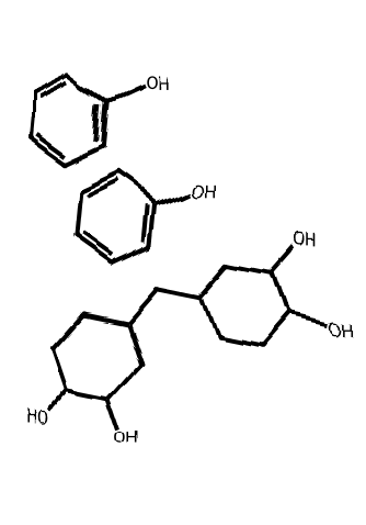 OC1CCC(CC2CCC(O)C(O)C2)CC1O.Oc1ccccc1.Oc1ccccc1